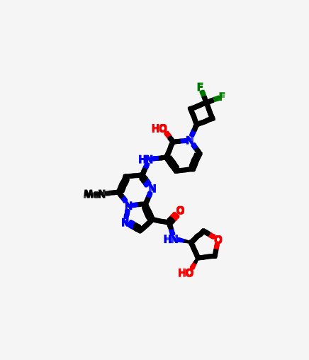 CNc1cc(NC2=CC=CN(C3CC(F)(F)C3)C2O)nc2c(C(=O)N[C@H]3COC[C@H]3O)cnn12